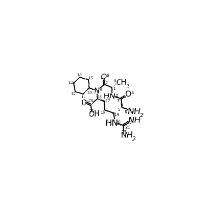 C[C@H](NC(=O)CN)C(=O)N(C1CCCCC1)[C@@H](CCCNC(=N)N)C(=O)O